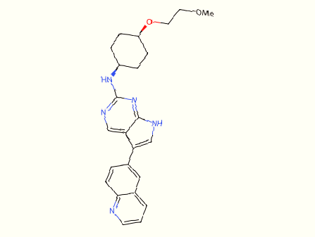 COCCO[C@H]1CC[C@@H](Nc2ncc3c(-c4ccc5ncccc5c4)c[nH]c3n2)CC1